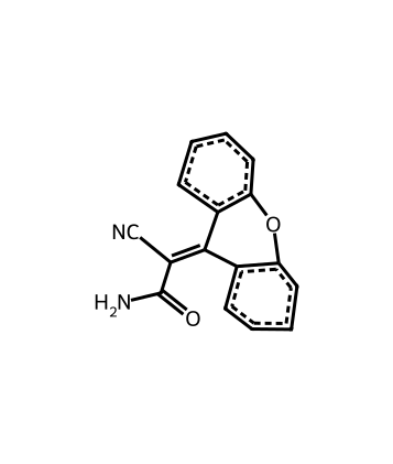 N#CC(C(N)=O)=C1c2ccccc2Oc2ccccc21